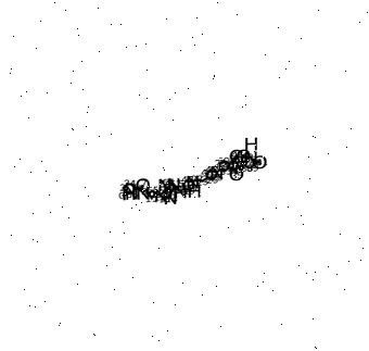 Cc1cccc(C(=O)NC2CC(n3cnc4c(NC5CCN(CCC6CCN(c7ccc8c(c7)C(=O)N([C@H]7CCC(=O)NC7=O)C8=O)CC6)CC5)ncnc43)C2)n1